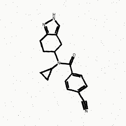 N#Cc1ccc(C(=O)N(C2CC2)C2CCc3n[nH]cc3C2)cc1